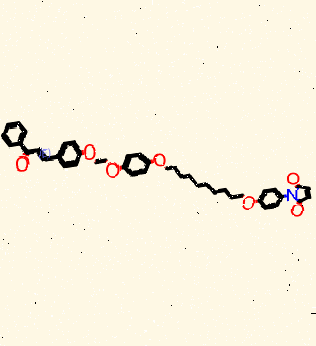 O=C(/C=C/c1ccc(OCCOc2ccc(OCCCCCCCCCCOc3ccc(N4C(=O)C=CC4=O)cc3)cc2)cc1)c1ccccc1